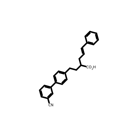 N#Cc1cccc(-c2ccc(CCC(C/C=C/c3ccccc3)C(=O)O)cc2)c1